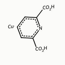 O=C(O)c1cccc(C(=O)O)n1.[Cu]